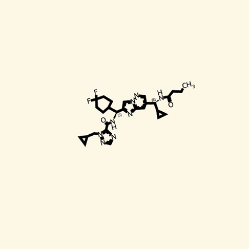 CCCC(=O)N[C@@H](c1cnn2cc([C@@H](NC(=O)c3ncnn3CC3CC3)C3CCC(F)(F)CC3)nc2c1)C1CC1